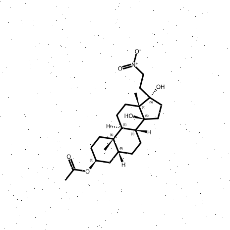 CC(=O)O[C@H]1CC[C@@]2(C)[C@H](CC[C@@H]3[C@@H]2CC[C@]2(C)[C@@](O)(CC[N+](=O)[O-])CC[C@]32O)C1